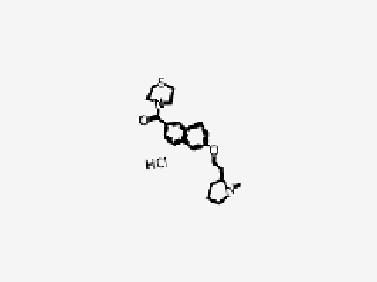 CN1CCCCC1CCOc1ccc2cc(C(=O)N3CCSCC3)ccc2c1.Cl